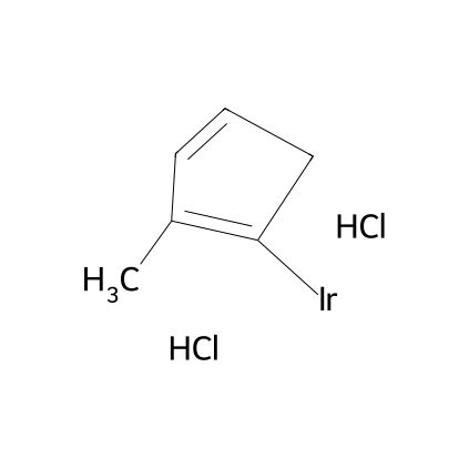 CC1=[C]([Ir])CC=C1.Cl.Cl